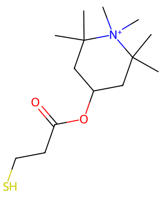 CC1(C)CC(OC(=O)CCS)CC(C)(C)[N+]1(C)C